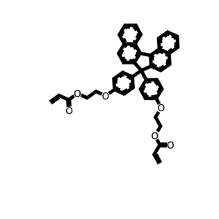 C=CC(=O)OCCOc1ccc(C2(c3ccc(OCCOC(=O)C=C)cc3)c3ccc4ccccc4c3-c3c2ccc2ccccc32)cc1